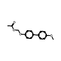 COc1ccc(-c2ccc(OCOC(C)=O)cc2)cc1